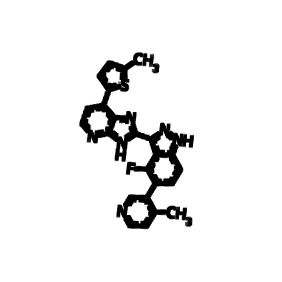 Cc1ccc(-c2ccnc3[nH]c(-c4n[nH]c5ccc(-c6cnccc6C)c(F)c45)nc23)s1